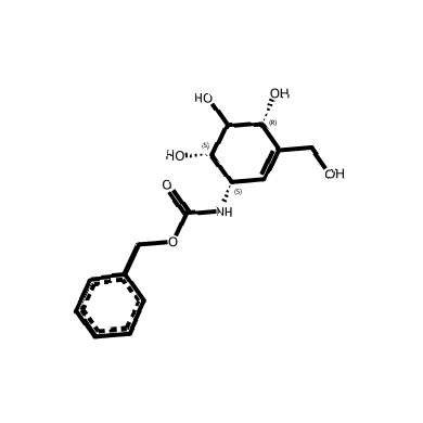 O=C(N[C@H]1C=C(CO)[C@@H](O)C(O)[C@H]1O)OCc1ccccc1